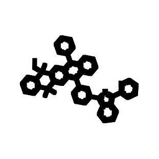 CCC1(C)c2ccccc2C(C)(C)c2cc3c(-c4cccc(-c5nc(-c6ccccn6)c6ccccn56)c4)c4ccccc4c(-c4ccccc4)c3cc21